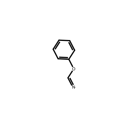 [N]=COc1ccccc1